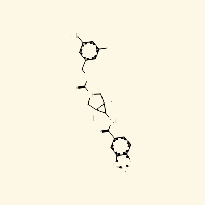 O=C(NC1[C@H]2CN(C(=O)OCc3cc(Cl)cc(Cl)c3)C[C@@H]12)c1ccc2nn[nH]c2c1